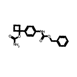 NC(=O)OC1(c2ccc(NC(=O)OCc3ccccc3)cc2)CCC1